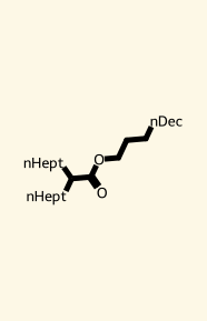 CCCCCCCCCCCCCOC(=O)C(CCCCCCC)CCCCCCC